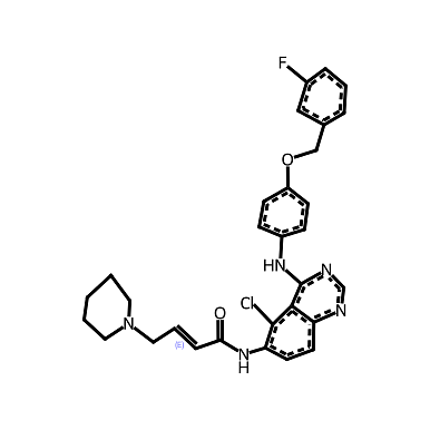 O=C(/C=C/CN1CCCCC1)Nc1ccc2ncnc(Nc3ccc(OCc4cccc(F)c4)cc3)c2c1Cl